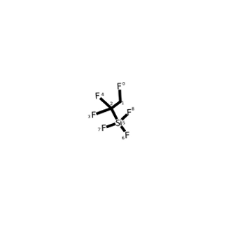 FCC(F)(F)[Si](F)(F)F